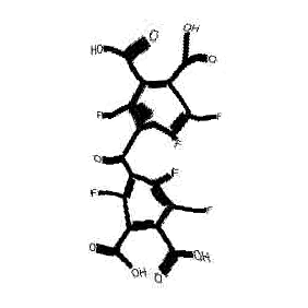 O=C(c1c(F)c(F)c(C(=O)O)c(C(=O)O)c1F)c1c(F)c(F)c(C(=O)O)c(C(=O)O)c1F